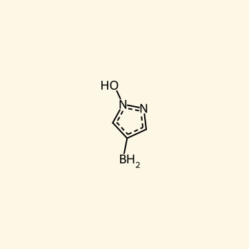 Bc1cnn(O)c1